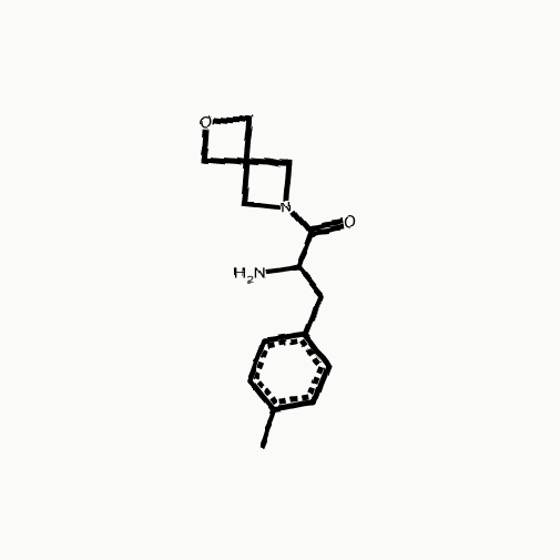 Cc1ccc(CC(N)C(=O)N2CC3(COC3)C2)cc1